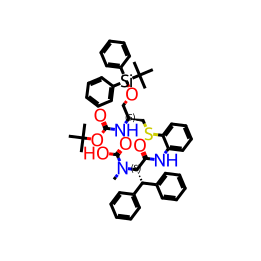 CN(C(=O)O)[C@H](C(=O)Nc1ccccc1SC[C@H](CO[Si](c1ccccc1)(c1ccccc1)C(C)(C)C)NC(=O)OC(C)(C)C)C(c1ccccc1)c1ccccc1